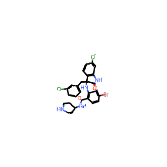 O=C(NC1CCNCC1)c1ccc(Br)cc1NC1(Cc2cccc(Cl)c2)C(=O)Nc2cc(Cl)ccc21